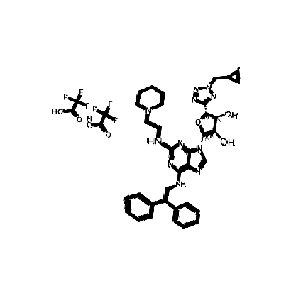 O=C(O)C(F)(F)F.O=C(O)C(F)(F)F.O[C@@H]1[C@H](O)[C@@H](c2nnn(CC3CC3)n2)O[C@H]1n1cnc2c(NCC(c3ccccc3)c3ccccc3)nc(NCCN3CCCCC3)nc21